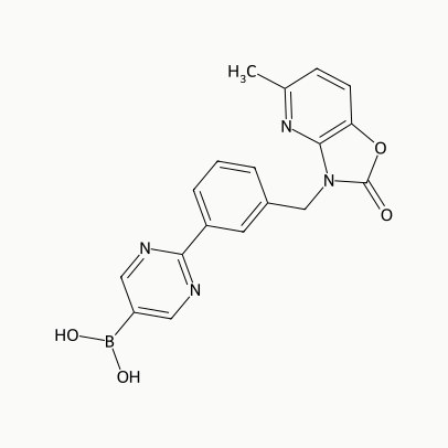 Cc1ccc2oc(=O)n(Cc3cccc(-c4ncc(B(O)O)cn4)c3)c2n1